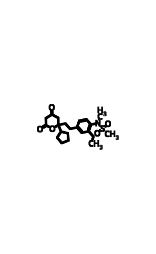 CCc1cc(CCC2(C3CCCC3)CC(=O)CC(=O)O2)ccc1N(C)S(C)(=O)=O